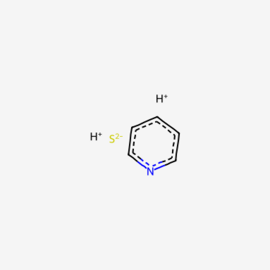 [H+].[H+].[S-2].c1ccncc1